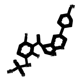 CCCS(=O)(=O)Nc1ccc(F)c(C(=O)c2c[nH]c3ncc(-c4ccc(C(C)C)cc4)cc23)c1F